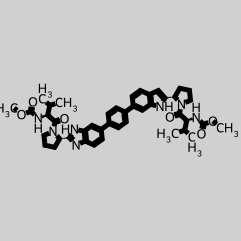 COC(=O)N[C@H](C(=O)N1CCC[C@H]1c1cc2ccc(-c3ccc(-c4ccc5nc([C@@H]6CCCN6C(=O)[C@@H](NC(=O)OC)C(C)C)[nH]c5c4)cc3)cc2[nH]1)C(C)C